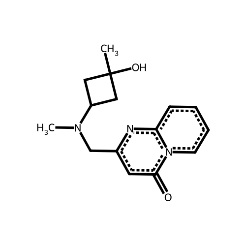 CN(Cc1cc(=O)n2ccccc2n1)C1CC(C)(O)C1